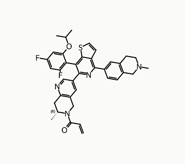 C=CC(=O)N1Cc2cc(-c3nc(-c4ccc5c(c4)CCN(C)C5)c4ccsc4c3-c3c(F)cc(F)cc3OC(C)C)cnc2C[C@H]1C